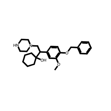 COc1cc(C(CN2CCNCC2)C2(O)CCCCC2)ccc1OCc1ccccc1